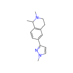 CC1c2ccc(-c3ccn(C)n3)cc2CCN1C